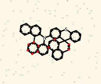 c1ccc(-c2c(N(c3ccc4c(c3)C3(c5ccccc5S4)c4ccccc4-c4cccc5cccc3c45)c3cccc4ccccc34)ccc3ccccc23)cc1